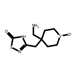 NCC1(Cc2nsc(=O)[nH]2)CC[S+]([O-])CC1